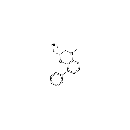 CN1C[C@@H](CN)Oc2c(-c3ccccc3)cccc21